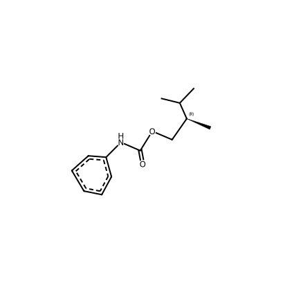 CC(C)[C@@H](C)COC(=O)Nc1ccccc1